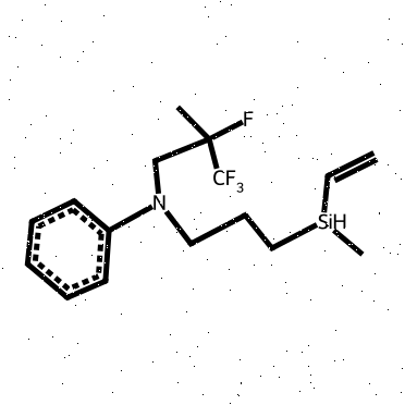 C=C[SiH](C)CCCN(CC(C)(F)C(F)(F)F)c1ccccc1